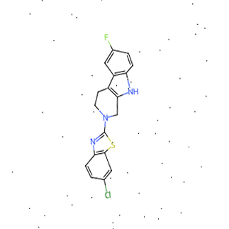 Fc1ccc2[nH]c3c(c2c1)CCN(c1nc2ccc(Cl)cc2s1)C3